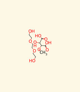 COC(C(=O)O)C(O)C(=O)O.OCCOCCOCCO